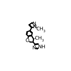 C[C@H]1c2cc(-c3ccnn3C)ccc2OCC1c1c[nH]cn1